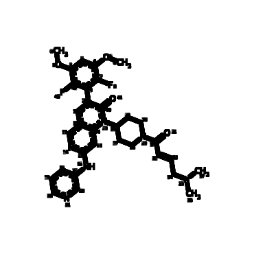 COc1cc(OC)c(F)c(-c2cc3cnc(Nc4cccnc4)cc3n(C3CCN(C(=O)/C=C/CN(C)C)CC3)c2=O)c1F